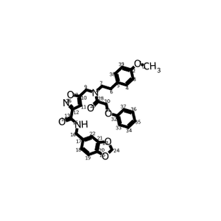 COc1ccc(CCN(Cc2cc(C(=O)NCc3ccc4c(c3)OCO4)no2)C(=O)COc2ccccc2)cc1